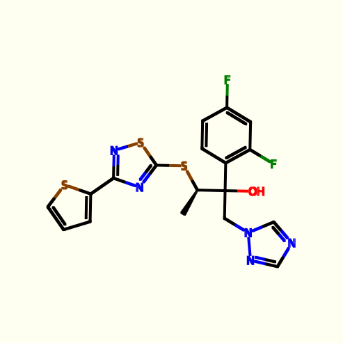 C[C@@H](Sc1nc(-c2cccs2)ns1)C(O)(Cn1cncn1)c1ccc(F)cc1F